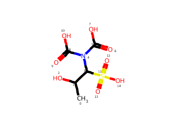 CC(O)C(N(C(=O)O)C(=O)O)S(=O)(=O)O